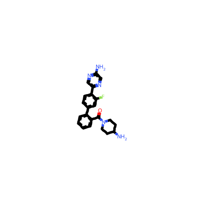 Nc1cnc(-c2ccc(-c3ccccc3C(=O)N3CCC(N)CC3)cc2F)cn1